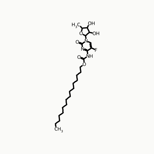 CCCCCCCCCCCCCCCCOC(=O)Nc1nc(=O)n(C2OC(C)C(O)C2O)cc1F